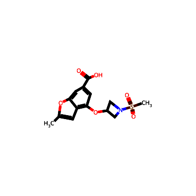 Cc1cc2c(OC3CN(S(C)(=O)=O)C3)cc(C(=O)O)cc2o1